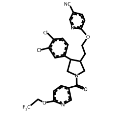 N#Cc1ccc(OCCC2CN(C(=O)c3ccc(OCC(F)(F)F)nc3)CC2c2ccc(Cl)c(Cl)c2)nc1